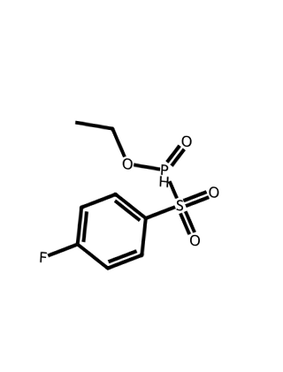 CCO[PH](=O)S(=O)(=O)c1ccc(F)cc1